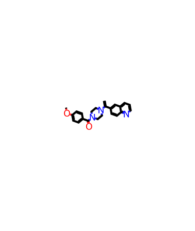 C=C(c1ccc2ncccc2c1)N1CCN(C(=O)c2ccc(OC)cc2)CC1